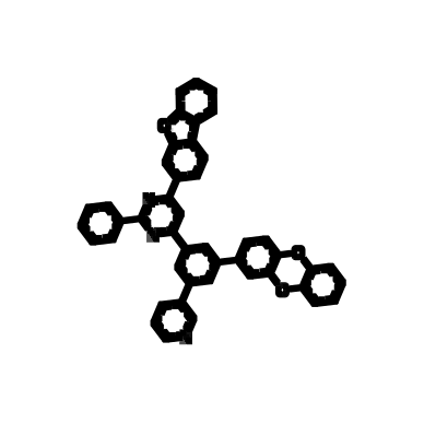 c1ccc(-c2nc(-c3cc(-c4cccnc4)cc(-c4ccc5c(c4)Oc4ccccc4O5)c3)cc(-c3ccc4c(c3)oc3ccccc34)n2)cc1